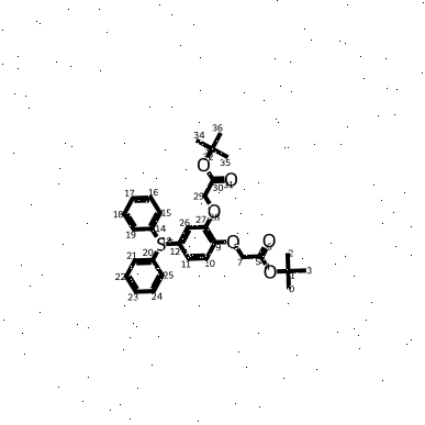 CC(C)(C)OC(=O)COc1ccc([S+](c2ccccc2)c2ccccc2)cc1OCC(=O)OC(C)(C)C